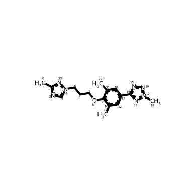 Cc1ncn(CCCOc2c(C)cc(-c3nnn(C)n3)cc2C)n1